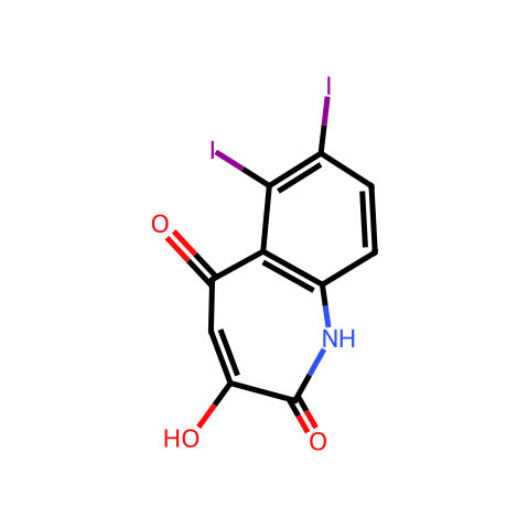 O=c1[nH]c2ccc(I)c(I)c2c(=O)cc1O